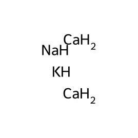 [CaH2].[CaH2].[KH].[NaH]